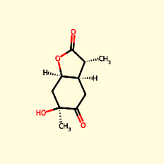 C[C@H]1C(=O)O[C@@H]2C[C@](C)(O)C(=O)C[C@@H]21